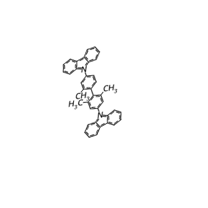 Cc1cc(-n2c3ccccc3c3ccccc32)ccc1-c1c(C)cc(-n2c3ccccc3c3ccccc32)cc1C